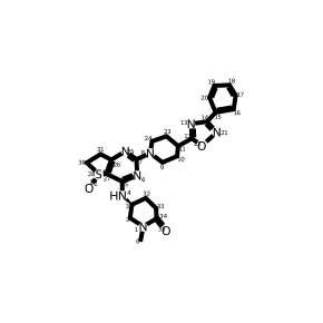 CN1C[C@@H](Nc2nc(N3CCC(c4nc(-c5ccccc5)no4)CC3)nc3c2[S+]([O-])CC3)CCC1=O